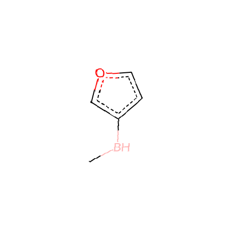 CBc1ccoc1